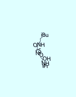 CCC(C)CCCCNC(=O)c1cnc(OCC(O)CNC(C)C)s1